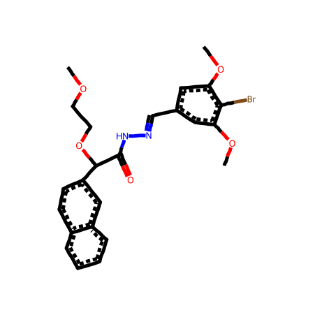 COCCOC(C(=O)N/N=C/c1cc(OC)c(Br)c(OC)c1)c1ccc2ccccc2c1